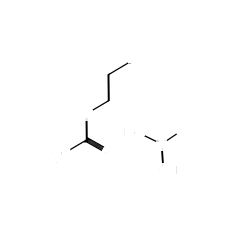 O=C(O)C(=O)OCCI.OB(O)O